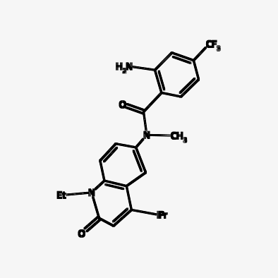 CCn1c(=O)cc(C(C)C)c2cc(N(C)C(=O)c3ccc(C(F)(F)F)cc3N)ccc21